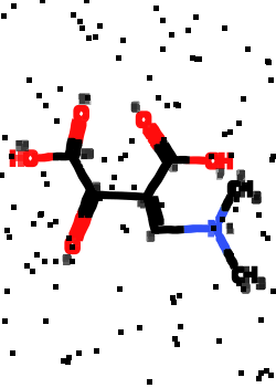 CN(C)/C=C(\C(=O)O)C(=O)C(=O)O